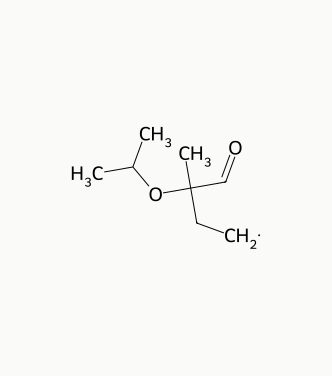 [CH2]CC(C)(C=O)OC(C)C